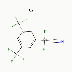 N#C[B-](F)(F)c1cc(C(F)(F)F)cc(C(F)(F)F)c1.[Cs+]